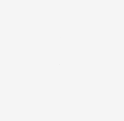 CC(C)COP(C)O